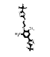 Cc1cc(-c2noc(C(F)(F)F)n2)cc(C)c1OCCSc1nnc(C(F)(F)F)[nH]1